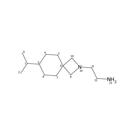 CC(C)C1CCC2(CC1)CN(CCN)C2